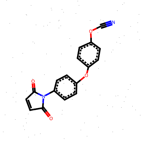 N#COc1ccc(Oc2ccc(N3C(=O)C=CC3=O)cc2)cc1